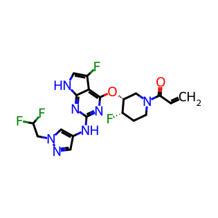 C=CC(=O)N1CC[C@H](F)[C@H](Oc2nc(Nc3cnn(CC(F)F)c3)nc3[nH]cc(F)c23)C1